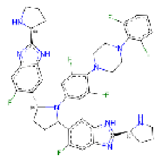 Fc1cc2nc([C@@H]3CCCN3)[nH]c2cc1C1CC[C@H](c2cc3[nH]c([C@@H]4CCCN4)nc3cc2F)N1c1cc(F)c(N2CCN(c3c(F)cccc3F)CC2)c(F)c1